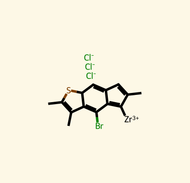 CC1=CC2=CC3SC(C)=C(C)C3=C(Br)C2=[C]1[Zr+3].[Cl-].[Cl-].[Cl-]